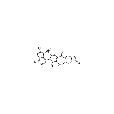 N#Cc1c(N)sc2c(F)ccc(-c3c(F)cc4c(c3Cl)OCC3CC5C(=O)OC5CN3C4=O)c12